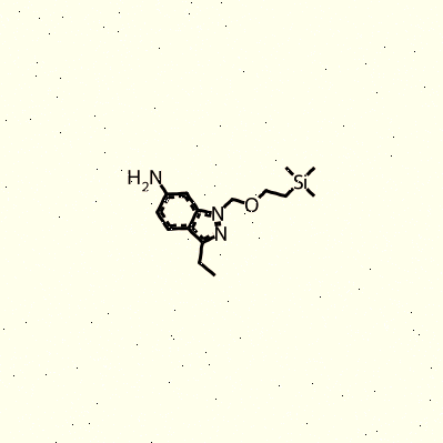 CCc1nn(COCC[Si](C)(C)C)c2cc(N)ccc12